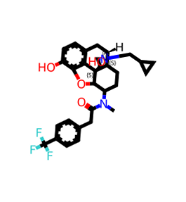 CN(C(=O)Cc1ccc(C(F)(F)F)cc1)C1CC[C@@]2(O)[C@H]3Cc4ccc(O)c5c4[C@@]2(CCN3CC2CC2)C1O5